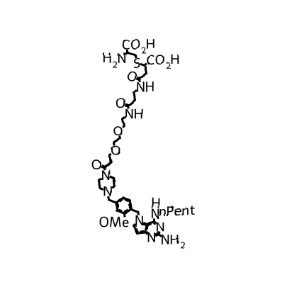 CCCCCNc1nc(N)nc2ccn(Cc3ccc(CN4CCN(C(=O)CCOCCOCCNC(=O)CCNC(=O)CC(SCC(N)C(=O)O)C(=O)O)CC4)cc3OC)c12